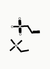 C=CCS(=O)(=O)[O-].CC[N+](C)(C)C